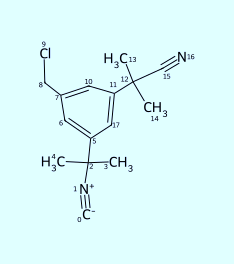 [C-]#[N+]C(C)(C)c1cc(CCl)cc(C(C)(C)C#N)c1